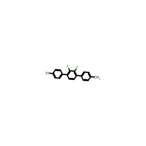 CCc1ccc(-c2ccc(-c3ccc(C)cc3)c(F)c2F)cc1